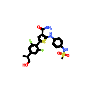 CC(CO)c1cc(F)c(-c2cc(C(N)=O)c(Nc3ccc(NS(C)(=O)=O)cc3)s2)c(F)c1